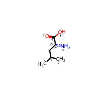 CC(C)C[C@H]([15NH2])C(=O)O